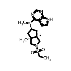 CCS(=O)(=O)N1C[C@@H]2C[C@H](N(C)c3ncnc4[nH]ccc34)C[C@]2(C)C1